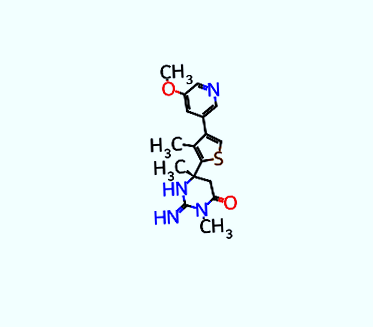 COc1cncc(-c2csc([C@]3(C)CC(=O)N(C)C(=N)N3)c2C)c1